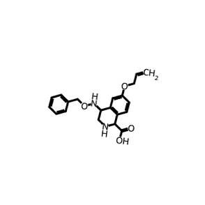 C=CCOc1ccc2c(c1)C(NOCc1ccccc1)CNC2C(=O)O